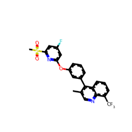 Cc1cnc2c(C(F)(F)F)cccc2c1-c1cccc(Oc2cc(F)cc(S(C)(=O)=O)n2)c1